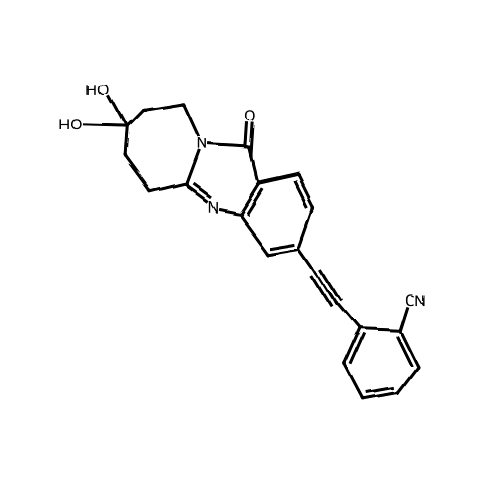 N#Cc1ccccc1C#Cc1ccc2c(=O)n3c(nc2c1)CCC(O)(O)CC3